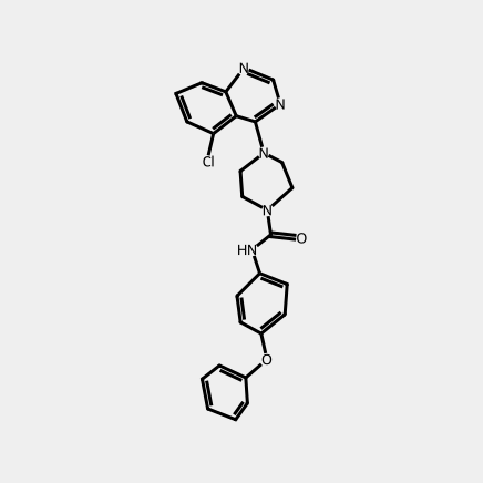 O=C(Nc1ccc(Oc2ccccc2)cc1)N1CCN(c2ncnc3cccc(Cl)c23)CC1